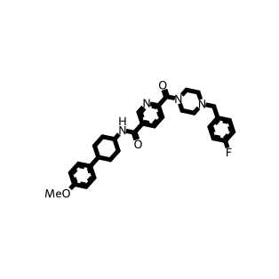 COc1ccc(C2CCC(NC(=O)c3ccc(C(=O)N4CCN(Cc5ccc(F)cc5)CC4)nc3)CC2)cc1